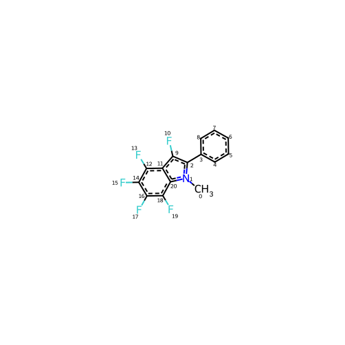 Cn1c(-c2ccccc2)c(F)c2c(F)c(F)c(F)c(F)c21